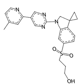 Cc1ccnc(-c2cnc(N3CC4(CC4)c4ccc(S(=O)(=O)CCCO)cc43)nc2)c1